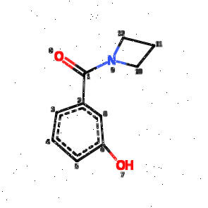 O=C(c1cccc(O)c1)N1CCC1